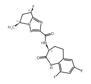 C[C@H]1C[C@@H](F)c2nc(C(=O)N[C@H]3CCc4cc(F)cc(F)c4NC3=O)nn21